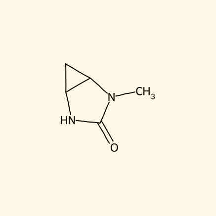 CN1C(=O)NC2CC21